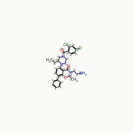 CCOc1c(-c2ccccc2)ccc(N2CCN(C(=O)c3ccc(Cl)cc3Cl)CC2CC)c1C(=O)NCCN